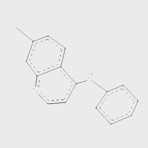 Clc1ccc2c(Nc3ccccc3)ccnc2c1